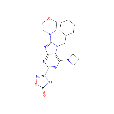 O=c1[nH]c(-c2nc(N3CCC3)c3c(n2)nc(N2CCOCC2)n3CC2CCCCC2)no1